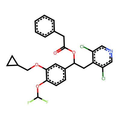 O=C(Cc1ccccc1)OC(Cc1c(Cl)cncc1Cl)c1ccc(OC(F)F)c(OCC2CC2)c1